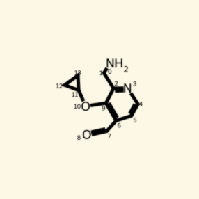 NCc1nccc(C=O)c1OC1CC1